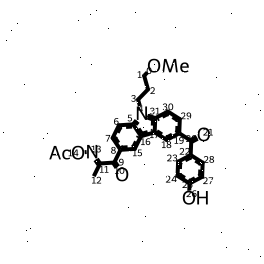 COCCCn1c2ccc(C(=O)C(C)=NOC(C)=O)cc2c2cc(C(=O)c3ccc(O)cc3)ccc21